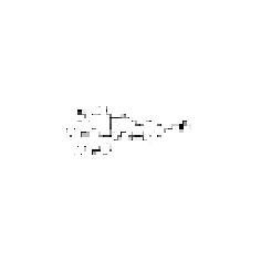 CCCOCCCC(OCC)[Si](OC)(OC)OC